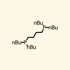 CCCCP(CCCC)CCCCP(CCCC)CCCC